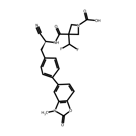 Cn1c(=O)oc2ccc(-c3ccc(C[C@@H](C#N)NC(=O)C4(C(F)F)CN(C(=O)O)C4)cc3)cc21